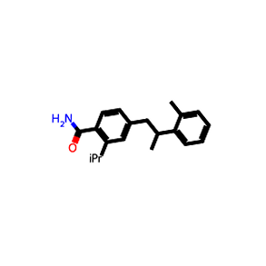 Cc1ccccc1C(C)Cc1ccc(C(N)=O)c(C(C)C)c1